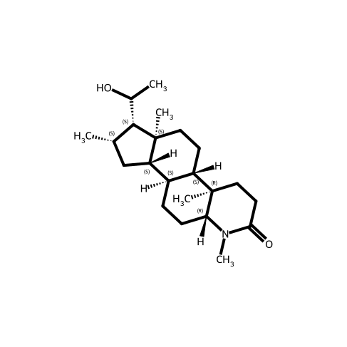 CC(O)[C@H]1[C@@H](C)C[C@H]2[C@@H]3CC[C@H]4N(C)C(=O)CC[C@]4(C)[C@H]3CC[C@@]21C